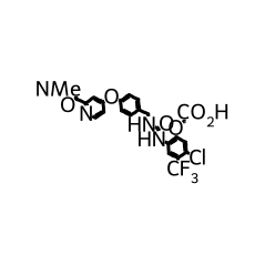 CNC(=O)c1cc(Oc2ccc(CNC(=O)Nc3cc(C(F)(F)F)c(Cl)cc3OCC(=O)O)cc2)ccn1